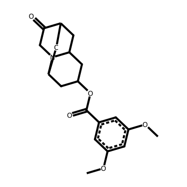 COc1cc(OC)cc(C(=O)OC2CC3CC4CC(C2)N3CC4=O)c1